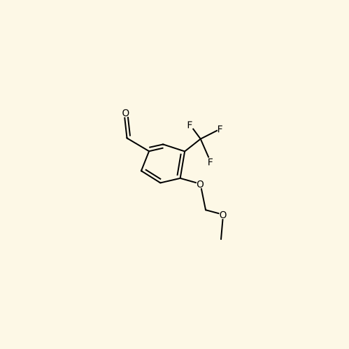 COCOc1ccc(C=O)cc1C(F)(F)F